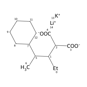 CCC(C(C(=O)[O-])C(=O)[O-])C(C)C1CCCCC1.[K+].[Li+]